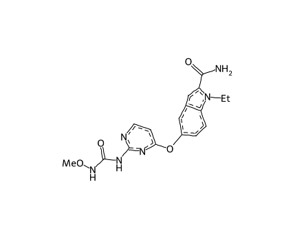 CCn1c(C(N)=O)cc2cc(Oc3ccnc(NC(=O)NOC)n3)ccc21